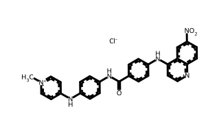 C[n+]1ccc(Nc2ccc(NC(=O)c3ccc(Nc4ccnc5ccc([N+](=O)[O-])cc45)cc3)cc2)cc1.[Cl-]